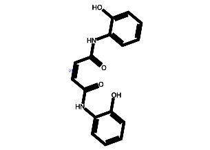 O=C(/C=C\C(=O)Nc1ccccc1O)Nc1ccccc1O